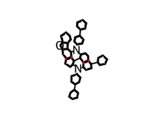 c1ccc(-c2ccc(N(c3ccc(-c4ccccc4)cc3)c3ccccc3-c3ccccc3N(c3ccc(-c4ccccc4)cc3)c3cccc4oc5ccccc5c34)cc2)cc1